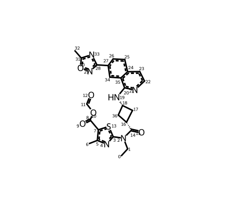 CCN(c1nc(C)c(C(=O)OC=O)s1)C(=O)[C@H]1C[C@@H](Nc2nccc3ccc(-c4noc(C)n4)cc23)C1